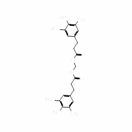 Cc1cc(CCC(=O)OCOC(=O)CCc2cc(C)c(O)c(C)c2)cc(C)c1O